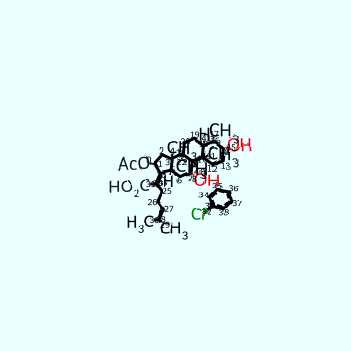 CC(=O)O[C@H]1C[C@@]2(C)[C@@H](C[C@@H](O)[C@H]3[C@@]4(C)CC[C@@H](O)[C@@H](C)[C@@H]4CC[C@@]32C)/C1=C(\CCC=C(C)C)C(=O)O.Clc1ccccc1